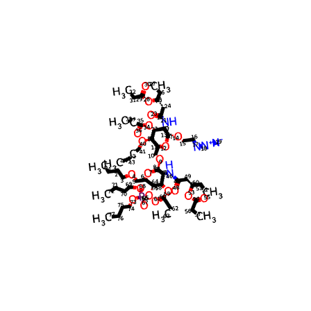 CCCCOCC1O[C@@H](OCC2O[C@@H](OCCN=[N+]=[N-])[C@@H](NC(=O)C[C@@H](CC)OC(=O)CC)C(OC(=O)CC)[C@@H]2OCCCC)[C@@H](NC(=O)C[C@@H](CC)OC(=O)CC)C(OC(=O)CC)[C@@H]1OP(=O)(OCCCC)OCCCC